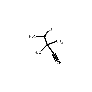 C#CC(C)(C)[C](C)CC